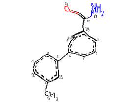 Cc1cccc(-c2cccc(C(N)=O)c2)c1